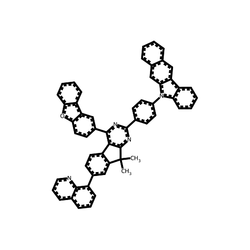 CC1(C)c2cc(-c3cccc4cccnc34)ccc2-c2c(-c3ccc4oc5ccccc5c4c3)nc(-c3ccc(-n4c5ccccc5c5cc6ccccc6cc54)cc3)nc21